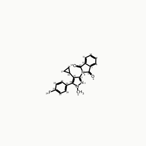 Cn1nc(N2C(=O)c3ccccc3C2=O)c(C2CC2)c1-c1ccc(F)cc1